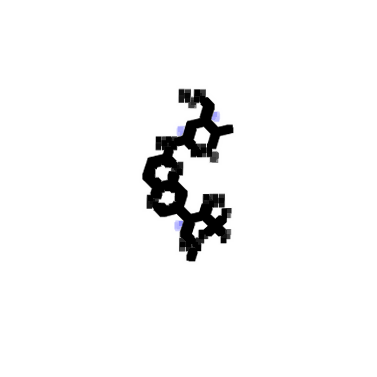 CN/C=C(\C(=N)C(F)(F)F)c1cnc2ccc(N/C(N)=C/C(=C\N)C(C)C)nc2c1